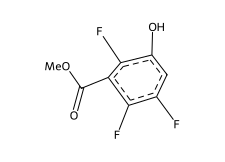 COC(=O)c1c(F)c(O)cc(F)c1F